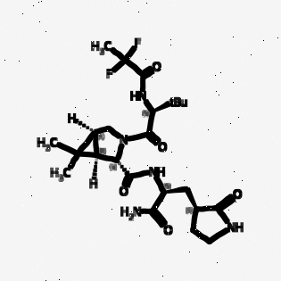 CC(F)(F)C(=O)N[C@H](C(=O)N1C[C@H]2[C@@H]([C@H]1C(=O)N[C@@H](C[C@@H]1CCNC1=O)C(N)=O)C2(C)C)C(C)(C)C